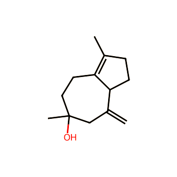 C=C1CC(C)(O)CCC2=C(C)CCC12